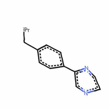 CC(C)Cc1ccc(-c2cnccn2)cc1